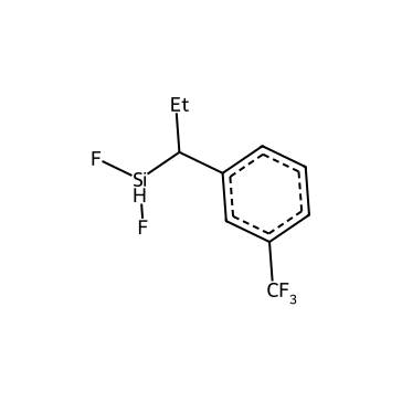 CCC(c1cccc(C(F)(F)F)c1)[SiH](F)F